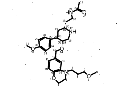 COCCCN1CCOc2ccc(CO[C@H]3CN[C@@H](CCNC(C)=O)C[C@@H]3c3ccc(OC)cc3)cc21